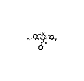 Cc1nc(N)ccc1CNC(=O)[C@H](Cc1ccc(F)cc1)NC(=O)C(O)Cc1ccccc1